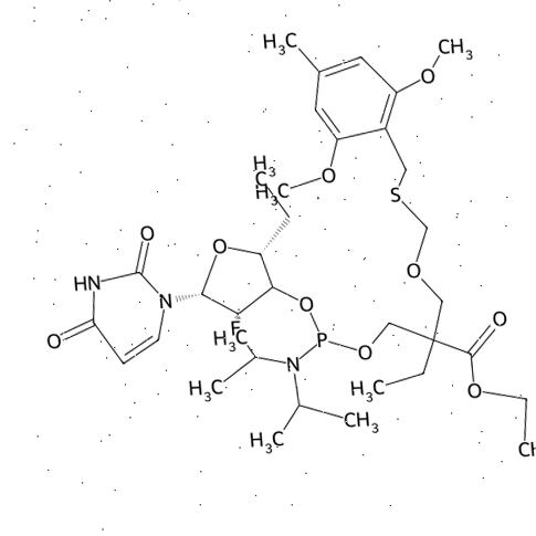 CCOC(=O)C(CC)(COCSCc1c(OC)cc(C)cc1OC)COP(OC1[C@@H](CC)O[C@@H](n2ccc(=O)[nH]c2=O)[C@H]1F)N(C(C)C)C(C)C